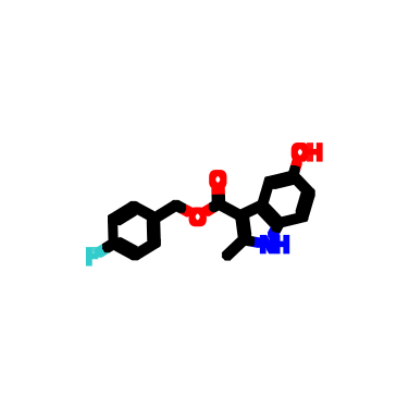 Cc1[nH]c2ccc(O)cc2c1C(=O)OCc1ccc(F)cc1